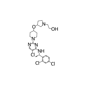 C[C@@H](Nc1nc(N2CCC(OC3CCN(CCO)C3)CC2)ncc1Cl)c1ccc(Cl)cc1Cl